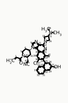 C=CC(=O)N1CC[C@H](n2cnc3c(N4CC(N(C)C)C4)nc4c(F)c(-c5cc(O)cc6ccccc56)c(Cl)cc4c32)C[C@H]1CC#N